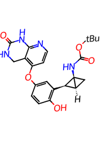 CC(C)(C)OC(=O)N[C@@]12C[C@H]1[C@H]2c1cc(Oc2ccnc3c2CNC(=O)N3)ccc1O